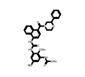 COC(=O)Nc1cc(C(C)(C)C)cc(NC(=O)Nc2ccc(C(=O)N3CCOC(c4ccccc4)C3)c3ccccc23)c1OC